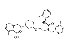 Cc1cccc(CN(CCOC2CCCC(OCc3cccc(C)c3C(=O)O)C2)C(=O)Nc2ccccc2C)c1